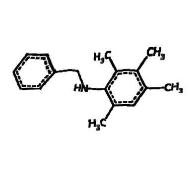 Cc1cc(C)c(NCc2ccccc2)c(C)c1C